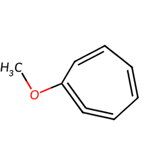 COC1=C=CC=CC=C1